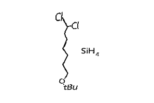 CC(C)(C)OCCCCCCC(Cl)Cl.[SiH4]